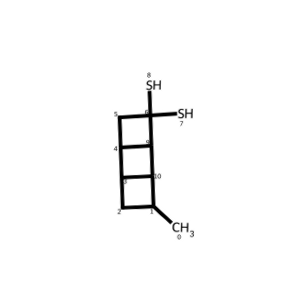 CC1CC2C3CC(S)(S)C3C12